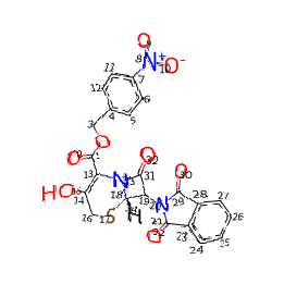 O=C(OCc1ccc([N+](=O)[O-])cc1)C1=C(O)CS[C@H]2C(N3C(=O)c4ccccc4C3=O)C(=O)N12